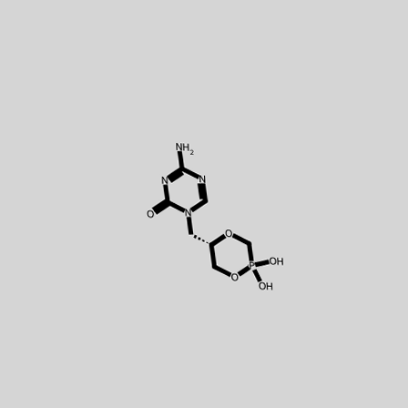 Nc1ncn(C[C@H]2CO[P](O)(O)CO2)c(=O)n1